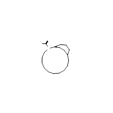 N[C@@H]1C[C@H]2CCCCCCCCCCN(C(=O)O)[C@H](CC2)C1